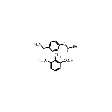 CC(C)NSc1ccc(CN)cc1.Cc1c(C(=O)O)cccc1C(=O)O